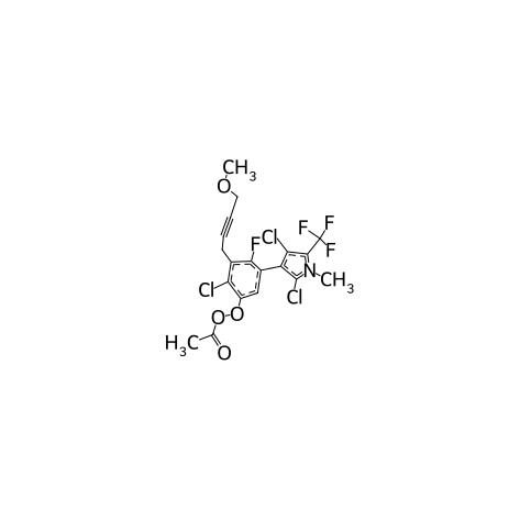 COCC#CCc1c(F)c(-c2c(Cl)c(C(F)(F)F)n(C)c2Cl)cc(OOC(C)=O)c1Cl